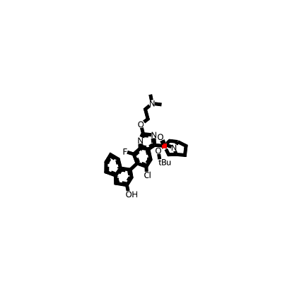 CN(C)CCOc1nc(N2CC3CCC(C2)N3C(=O)OC(C)(C)C)c2cc(Cl)c(-c3cc(O)cc4ccccc34)c(F)c2n1